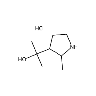 CC1NCCC1C(C)(C)O.Cl